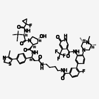 Cc1ncsc1-c1ccc([C@H](CC(=O)NCCCCNC(=O)c2ccc(F)c(-c3ccc(N4C[C@@H](C)N(C)[C@@H](C)C4)c(NC(=O)c4c[nH]c(=O)cc4C(F)(F)F)c3)c2)NC(=O)[C@@H]2C[C@@H](O)CN2C(=O)[C@@H](NC(=O)C2(F)CC2)C(C)(C)C)cc1